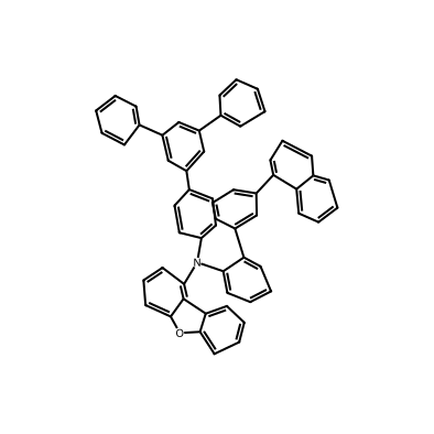 c1ccc(-c2cc(-c3ccccc3)cc(-c3ccc(N(c4ccccc4-c4cccc(-c5cccc6ccccc56)c4)c4cccc5oc6ccccc6c45)cc3)c2)cc1